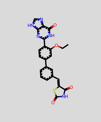 CCOc1cc(-c2cccc(/C=C3\SC(=O)NC3=O)c2)ccc1-c1nc2[nH]cnc2c(=O)[nH]1